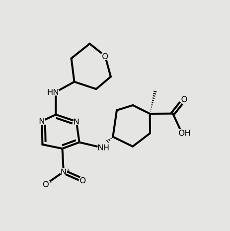 C[C@]1(C(=O)O)CC[C@H](Nc2nc(NC3CCOCC3)ncc2[N+](=O)[O-])CC1